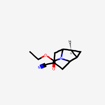 CCOC(=O)N1C2CC(C#N)CC1[C@H]1CC21